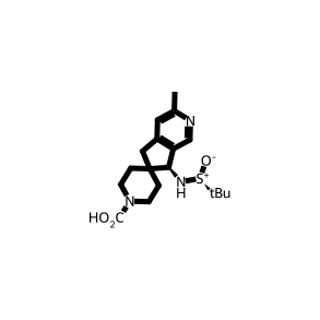 Cc1cc2c(cn1)[C@@H](N[S@+]([O-])C(C)(C)C)C1(CCN(C(=O)O)CC1)C2